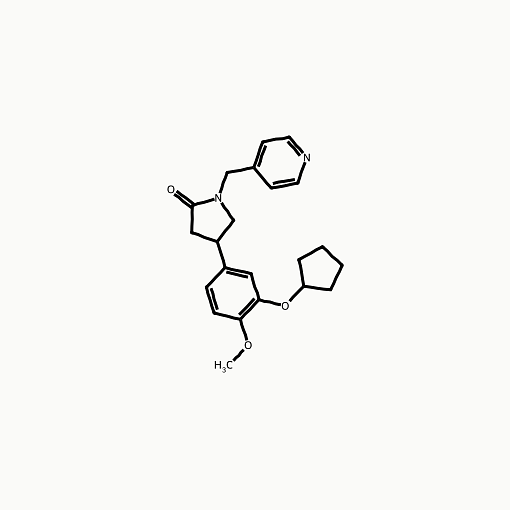 COc1ccc(C2CC(=O)N(Cc3ccncc3)C2)cc1OC1CCCC1